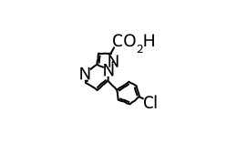 O=C(O)c1cc2nccc(-c3ccc(Cl)cc3)n2n1